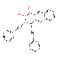 OC1=C(O)C(C#Cc2ccccc2)C(C#Cc2ccccc2)c2cc3ccccc3cc21